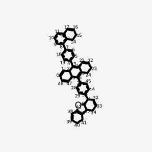 C1=CC2C(c3ccc(-c4cccc5c4CCC=C5)cc3)=C3C=CCCC3=C(c3ccc(C4C=CCC5C6=C(C=CCC6)OC54)cc3)C2C=C1